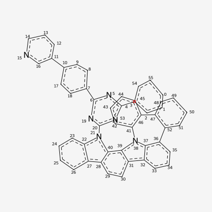 c1ccc(-c2nc(-c3ccc(-c4cccnc4)cc3)nc(-n3c4ccccc4c4ccc5c6cccc7c6n(c5c43)-c3ccccc3-c3ccccc3-7)n2)cc1